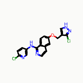 Clc1ccc(Nc2nccc3cc(OCc4c[nH]nc4Cl)ccc23)cn1